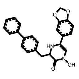 O=C1C(Cc2ccc(-c3ccccc3)cc2)NC(c2ccc3c(c2)OCO3)=CN1O